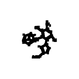 CC(=O)Nc1ccn(-c2c(Cl)cc(C(F)(F)F)c(Cl)c2Cl)n1.c1cc2cc(c1)O2